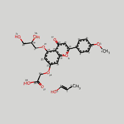 CC=CO.COc1ccc(-c2cc(=O)c3c(OCC(O)CO)cc(OCC(=O)O)cc3o2)cc1